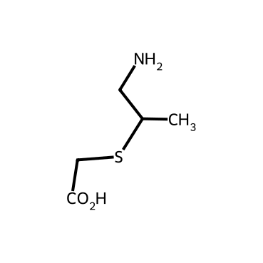 CC(CN)SCC(=O)O